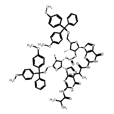 COc1ccc(C(OC[C@H]2O[C@@H](n3cnc4c(=O)[nH]c(NC(=O)C(C)C)nc43)[C@@H](O[PH](=O)O[C@H]3[C@H](F)[C@@H](COC(c4ccccc4)(c4ccc(OC)cc4)c4ccc(OC)cc4)O[C@H]3n3cnc4c(=O)[nH]c(NC(=O)C(C)C)nc43)[C@@H]2F)(c2ccccc2)c2ccc(OC)cc2)cc1